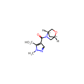 Cn1ncc(C(=O)N2C[C@@H]3C[C@H]2CO3)c1C(=O)O